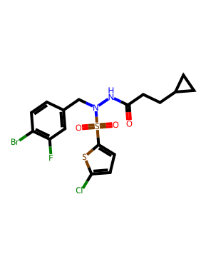 O=C(CCC1CC1)NN(Cc1ccc(Br)c(F)c1)S(=O)(=O)c1ccc(Cl)s1